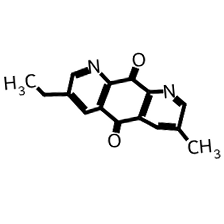 CCc1cnc2c(c1)C(=O)c1cc(C)cnc1C2=O